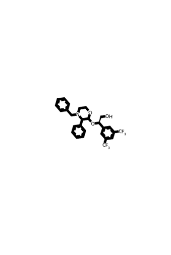 OC[C@H](OC1OCCN(Cc2ccccc2)C1c1ccccc1)c1cc(C(F)(F)F)cc(C(F)(F)F)c1